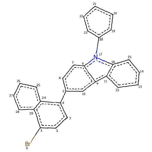 Brc1ccc(-c2ccc3c(c2)c2ccccc2n3-c2ccccc2)c2ccccc12